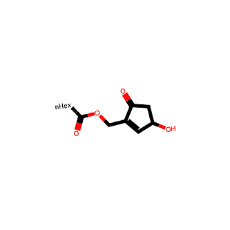 CCCCCCC(=O)OCC1=CC(O)CC1=O